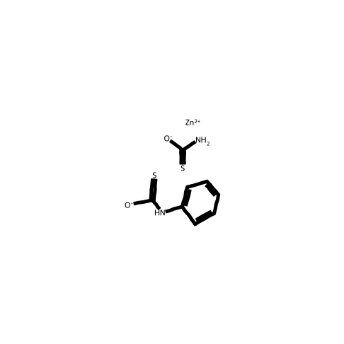 NC([O-])=S.[O-]C(=S)Nc1ccccc1.[Zn+2]